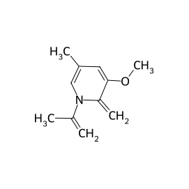 C=C(C)N1C=C(C)C=C(OC)C1=C